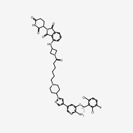 C[C@H](Oc1cc(-c2cnn(C3CCN(CCCCCC(=O)N4CC(Nc5cccc6c5C(=O)N(C5CCC(=O)NC5=O)C6=O)C4)CC3)c2)cnc1N)c1c(Cl)ccc(F)c1Cl